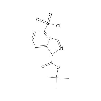 CC(C)(C)OC(=O)n1ncc2c(S(=O)(=O)Cl)cccc21